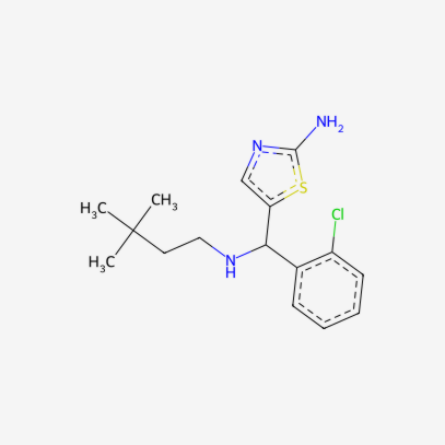 CC(C)(C)CCNC(c1cnc(N)s1)c1ccccc1Cl